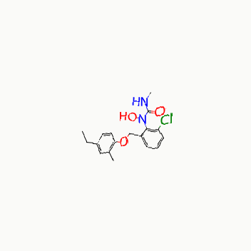 CCc1ccc(OCc2cccc(Cl)c2N(O)C(=O)NC)c(C)c1